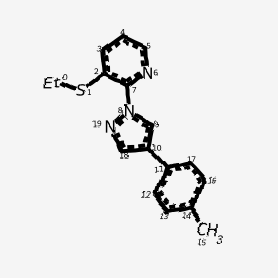 CCSc1cccnc1-n1cc(-c2ccc(C)cc2)cn1